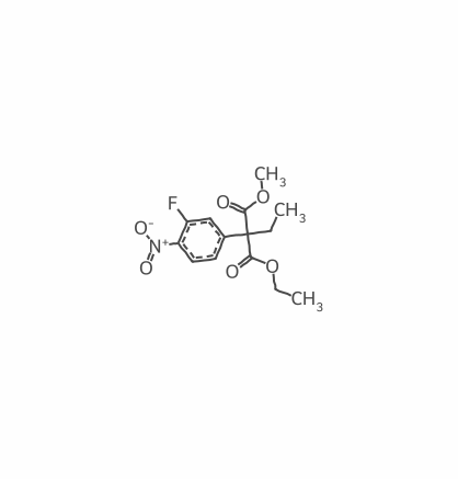 CCOC(=O)C(CC)(C(=O)OC)c1ccc([N+](=O)[O-])c(F)c1